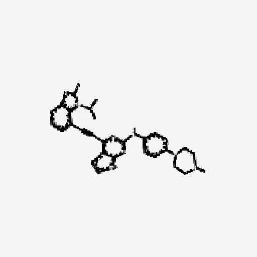 Cc1nc2cccc(C#Cc3nc(Nc4ccc(N5CCN(C)CC5)cc4)nc4[nH]ccc34)c2n1C(C)C